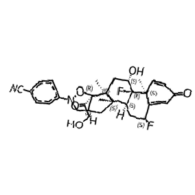 C[C@]12C[C@H](O)[C@@]3(F)[C@@H](C[C@H](F)C4=CC(=O)C=C[C@@]43C)[C@]1(C)C[C@H]1CN(c3ccc(C#N)cc3)O[C@]12C(=O)CO